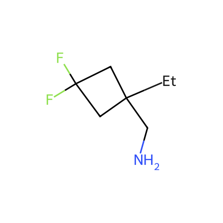 CCC1(CN)CC(F)(F)C1